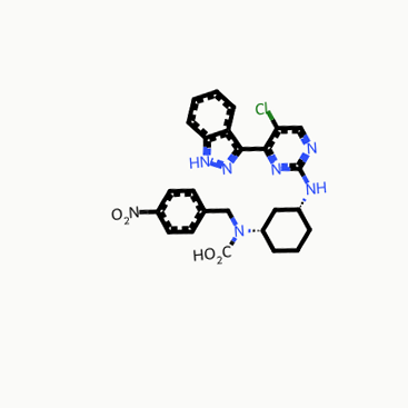 O=C(O)N(Cc1ccc([N+](=O)[O-])cc1)[C@H]1CCC[C@@H](Nc2ncc(Cl)c(-c3n[nH]c4ccccc34)n2)C1